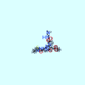 CN(C)CCNC(=O)O[C@@H]1CCCN(c2nc3cc(C(=O)Nc4nc(C(C)(C)C)cs4)ccn3c(=O)c2C=CC(=O)OC(C)(C)C)C1